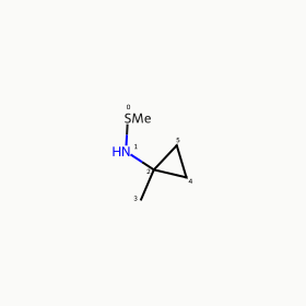 CSNC1(C)CC1